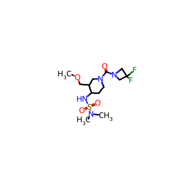 COCC1CN(C(=O)N2CC(F)(F)C2)CCC1NS(=O)(=O)N(C)C